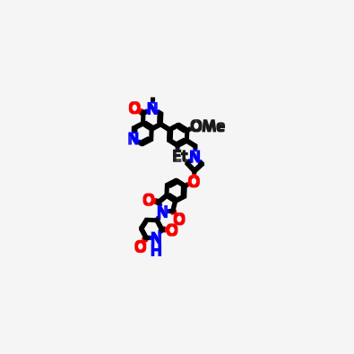 CCc1cc(-c2cn(C)c(=O)c3cnccc23)cc(OC)c1CN1CC(Oc2ccc3c(c2)C(=O)N(C2CCC(=O)NC2=O)C3=O)C1